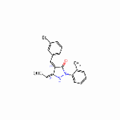 CCc1cccc(/C=c2\c(=O)n(-c3ccccc3C)[nH]\c2=C\C=O)c1